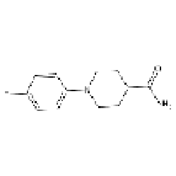 NC(=O)C1CCN(c2ccc(F)cc2)CC1